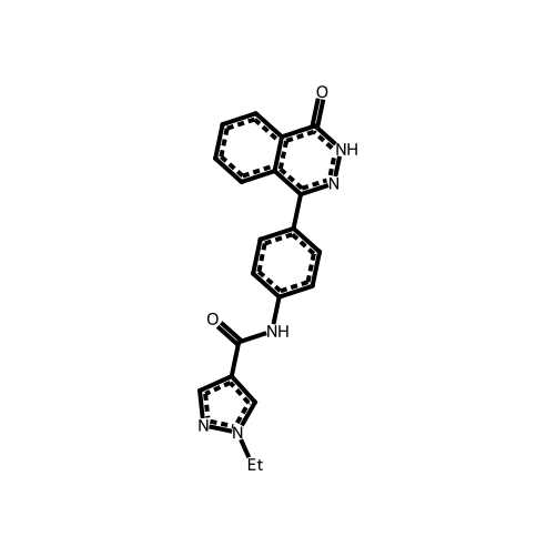 CCn1cc(C(=O)Nc2ccc(-c3n[nH]c(=O)c4ccccc34)cc2)cn1